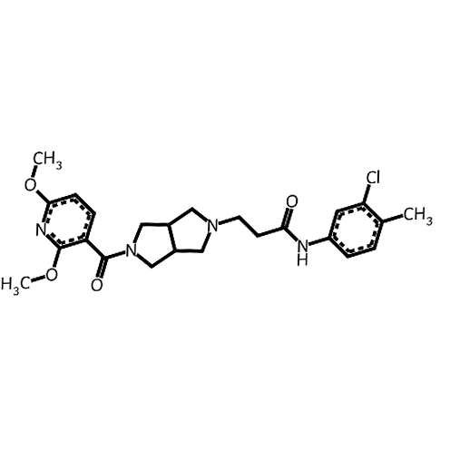 COc1ccc(C(=O)N2CC3CN(CCC(=O)Nc4ccc(C)c(Cl)c4)CC3C2)c(OC)n1